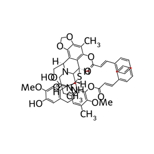 COc1cc2c(cc1O)CCN[C@]21CS[C@@H]2c3c(OC(=O)/C=C/c4ccccc4)c(C)c4c(c3[C@H](COC1=O)N1C2[C@@H]2c3c(cc(C)c(OC)c3OC(=O)/C=C/c3ccccc3)C[C@H]([C@@H]1O)N2C)OCO4